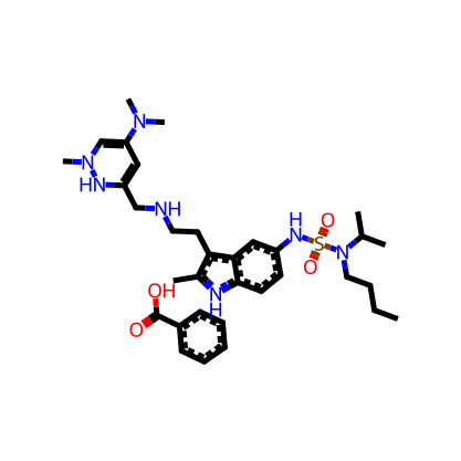 CCCCN(C(C)C)S(=O)(=O)Nc1ccc2[nH]c(C)c(CCNCC3=CC(N(C)C)=CN(C)N3)c2c1.O=C(O)c1ccccc1